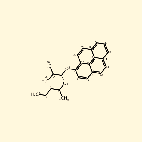 CCCC(C)O[C@@H](Oc1ccc2ccc3cccc4ccc1c2c34)C(C)C